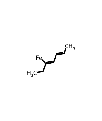 CC=CC=[C]([Fe])CC